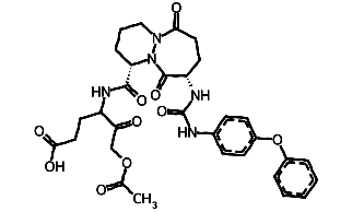 CC(=O)OCC(=O)C(CCC(=O)O)NC(=O)[C@@H]1CCCN2C(=O)CC[C@H](NC(=O)Nc3ccc(Oc4ccccc4)cc3)C(=O)N12